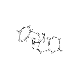 C1=CC2(Cc3ccccc3N2)Nc2ccccc21